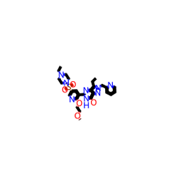 CCc1c2nc(-c3cc(S(=O)(=O)N4CCN(CC)CC4)cnc3OCCOC)[nH]c(=O)c2nn1Cc1ccccn1